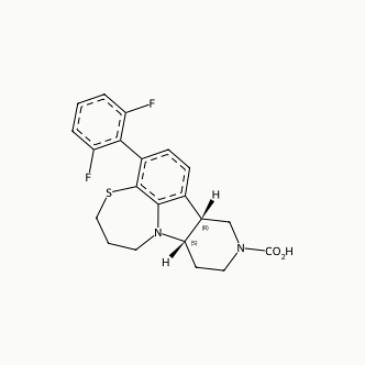 O=C(O)N1CC[C@H]2[C@@H](C1)c1ccc(-c3c(F)cccc3F)c3c1N2CCCS3